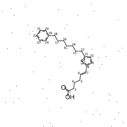 O=C(O)CCCC=Cc1ccc(CCCCCCCc2ccccc2)s1